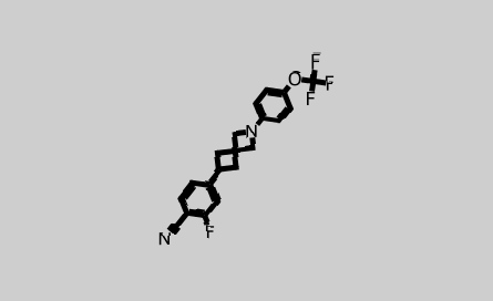 N#Cc1ccc(C2CC3(C2)CN(c2ccc(OC(F)(F)F)cc2)C3)cc1F